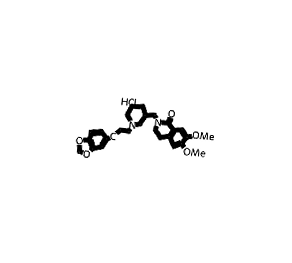 COc1cc2c(cc1OC)C(=O)N(CC1CCCN(CCCc3ccc4c(c3)OCO4)C1)CC2.Cl